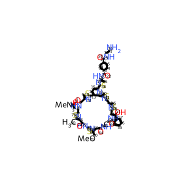 CNC(=O)C[C@@H]1NC(=O)c2csc(n2)-c2ccc(-c3nc(NC(=O)[C@H]4CC[C@H](C(=O)NCCN)CC4)cs3)nc2-c2csc(n2)-c2csc(n2)[C@H]([C@@H](O)c2ccccc2)NC(=O)CNC(=O)c2nc(sc2COC)NC(=O)c2nc1sc2C